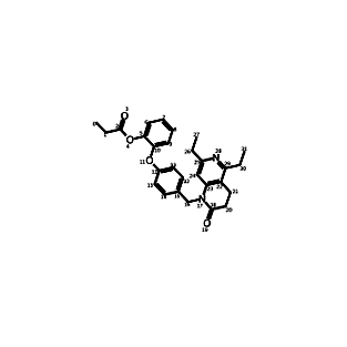 CCC(=O)Oc1ccccc1Oc1ccc(CN2C(=O)CCc3c2cc(CC)nc3CC)cc1